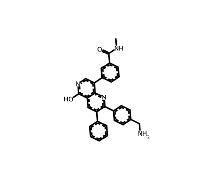 CNC(=O)c1cccc(-c2cnc(O)c3cc(-c4ccccc4)c(-c4ccc(CN)cc4)nc23)c1